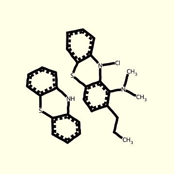 CCCc1ccc2c(c1N(C)C)N(Cl)c1ccccc1S2.c1ccc2c(c1)Nc1ccccc1S2